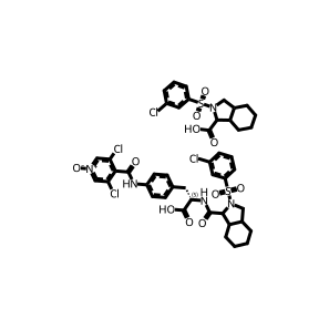 O=C(Nc1ccc(C[C@H](NC(=O)C2C3CCCCC3CN2S(=O)(=O)c2cccc(Cl)c2)C(=O)O)cc1)c1c(Cl)c[n+]([O-])cc1Cl.O=C(O)C1C2CCCCC2CN1S(=O)(=O)c1cccc(Cl)c1